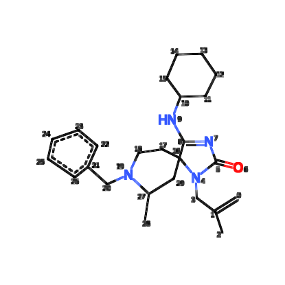 C=C(C)CN1C(=O)N=C(NC2CCCCC2)C12CCN(Cc1ccccc1)C(C)C2